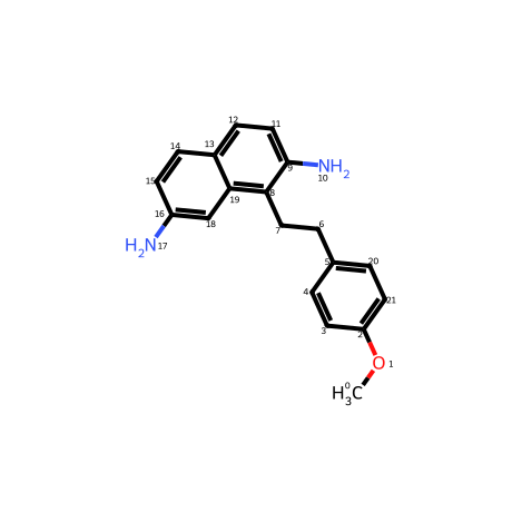 COc1ccc(CCc2c(N)ccc3ccc(N)cc23)cc1